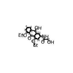 CCOc1cccc2c1C(=O)c1c(OCC)cc(NC(=O)CO)cc1C2O